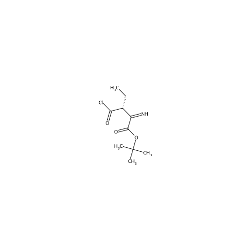 CC[C@H](C(=N)C(=O)OC(C)(C)C)C(=O)Cl